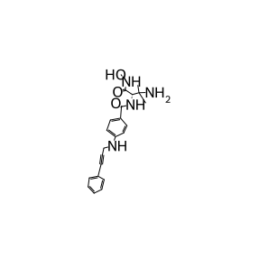 CC(C)(N)[C@H](NC(=O)c1ccc(NCC#Cc2ccccc2)cc1)C(=O)NO